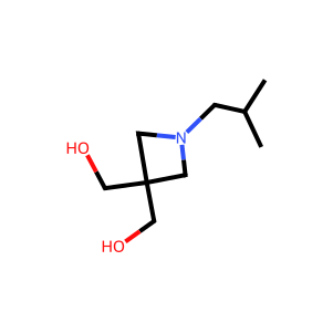 CC(C)CN1CC(CO)(CO)C1